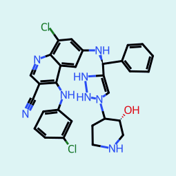 N#Cc1cnc2c(Cl)cc(N[C@H](C3=CN(C4CCNC[C@H]4O)NN3)c3ccccc3)cc2c1Nc1cccc(Cl)c1